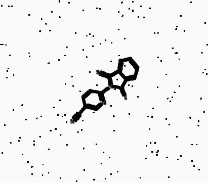 N#Cc1ccc(N2C(=S)c3ccccc3C2=S)nc1